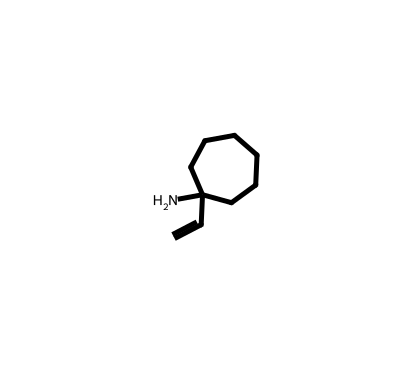 C=CC1(N)CCCCCC1